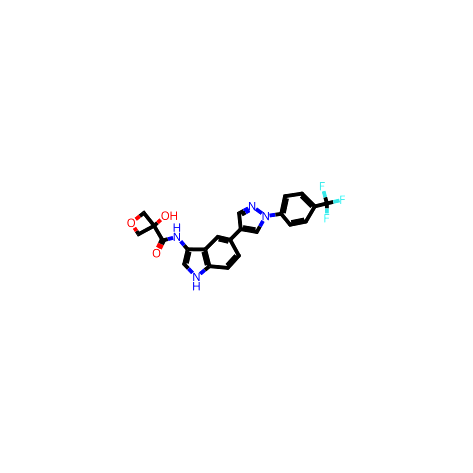 O=C(Nc1c[nH]c2ccc(-c3cnn(-c4ccc(C(F)(F)F)cc4)c3)cc12)C1(O)COC1